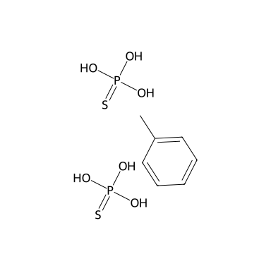 Cc1ccccc1.OP(O)(O)=S.OP(O)(O)=S